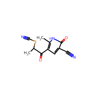 Cc1[nH]c(=O)c(C#N)cc1C(=O)C(C)SC#N